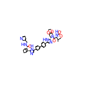 COC(=O)N[C@H](C(=O)N1CC2(C[C@H]1c1ncc(-c3ccc(-c4ccc(-c5cnc([C@H]6C7CCC(C7)[C@@H]6C(=O)NCc6cccnc6)[nH]5)cc4)cc3)[nH]1)OCCO2)C(C)C